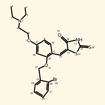 CCN(CC)CCOc1ccc(C=C2SC(=S)NC2=O)c(OCc2ccccc2Br)c1